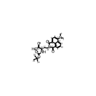 CN(C)c1ccc2c3c(cccc13)C(=O)N(CC[C@@H](NC(=O)OC(C)(C)C)C(=O)O)C2=O